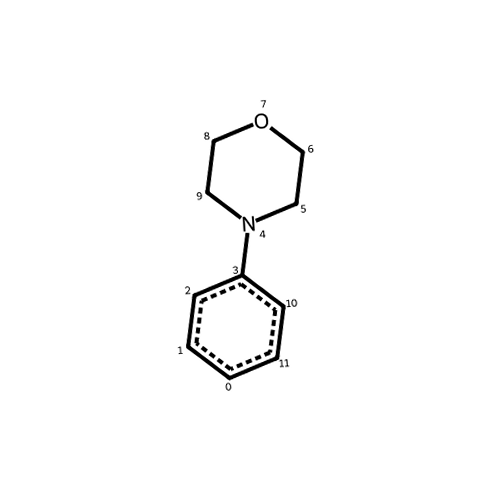 c1ccc(N2CCOCC2)cc1